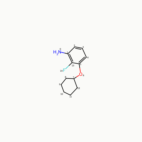 Nc1cccc(OC2CCCCC2)c1F